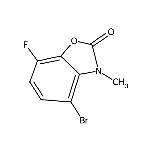 Cn1c(=O)oc2c(F)ccc(Br)c21